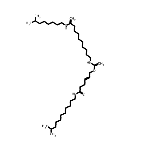 C=C(CCCCCCCCCNC(=C)OC/C=C/CCC(=O)NCCCCCCCCCC(C)C)NCCCCCCC(C)C